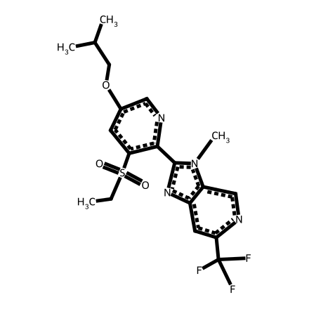 CCS(=O)(=O)c1cc(OCC(C)C)cnc1-c1nc2cc(C(F)(F)F)ncc2n1C